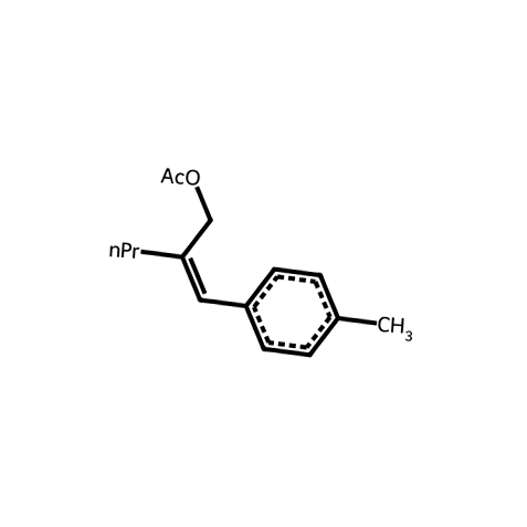 CCCC(=Cc1ccc(C)cc1)COC(C)=O